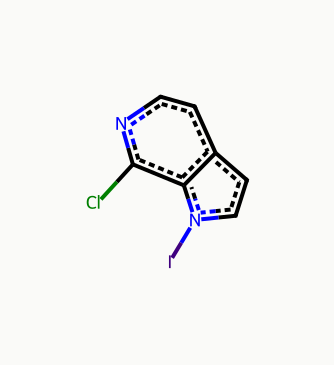 Clc1nccc2ccn(I)c12